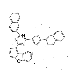 c1ccc2cc(-c3ccc(-c4nc(-c5ccc6ccccc6c5)nc(-c5cccc6oc7ccncc7c56)n4)cc3)ccc2c1